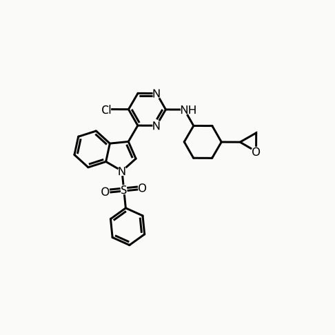 O=S(=O)(c1ccccc1)n1cc(-c2nc(NC3CCCC(C4CO4)C3)ncc2Cl)c2ccccc21